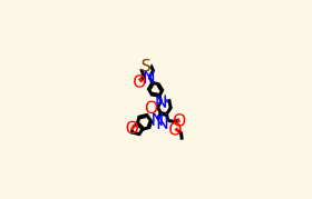 CCOC(=O)c1nn(-c2ccc3c(c2)CCO3)c2c1CCN(c1ccc(N3CCSCC3=O)cc1)C2=O